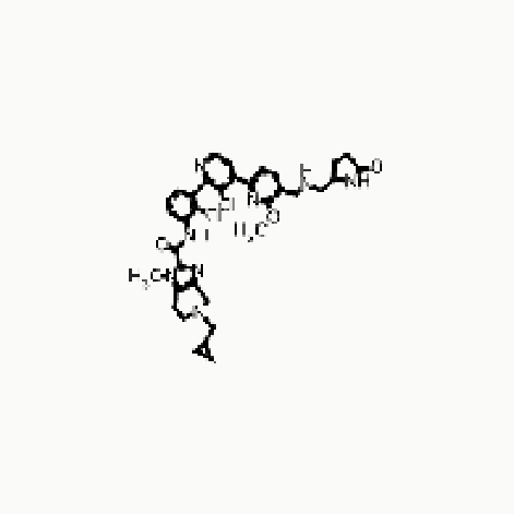 COc1nc(-c2ccnc(-c3cccc(NC(=O)c4nc5c(n4C)CCN(CC4CC4)C5)c3Cl)c2Cl)ccc1CNCC1CCC(=O)N1